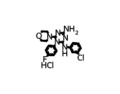 Cl.NC1=NC(Nc2cccc(Cl)c2)N(c2ccc(F)cc2)C(N2CCOCC2)=N1